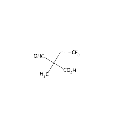 CC(C=O)(CC(F)(F)F)C(=O)O